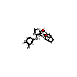 CN(C)C1CC2CCC(C1)N2c1ncc2ncnc(Nc3ccc(F)c(Cl)c3)c2n1